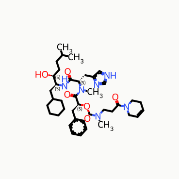 CC(C)CC[C@H](O)[C@H](CC1CCCCC1)NC(=O)[C@H](Cc1c[nH]cn1)N(C)C(=O)[C@H](Cc1ccccc1)OC(=O)N(C)CCC(=O)N1CC=CCC1